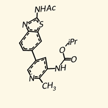 CC(=O)Nc1nc2ccc(-c3cnc(C)c(NC(=O)OC(C)C)c3)cc2s1